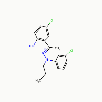 CCCN(/N=C(\C)c1cc(Cl)ccc1N)c1cccc(Cl)c1